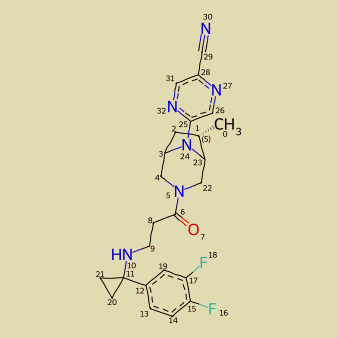 C[C@H]1CC2CN(C(=O)CCNC3(c4ccc(F)c(F)c4)CC3)CC1N2c1cnc(C#N)cn1